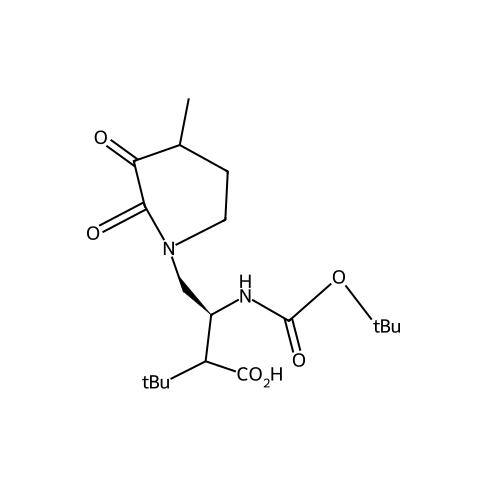 CC1CCN(C[C@@H](NC(=O)OC(C)(C)C)C(C(=O)O)C(C)(C)C)C(=O)C1=O